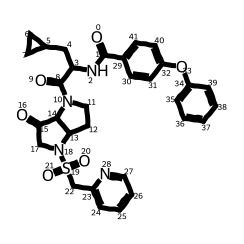 O=C(NC(CC1CC1)C(=O)N1CCC2C1C(=O)CN2S(=O)(=O)Cc1ccccn1)c1ccc(Oc2ccccc2)cc1